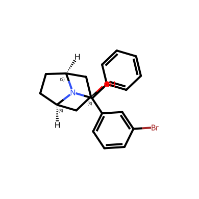 O[C@@]1(c2cccc(Br)c2)C[C@H]2CC[C@@H](C1)N2Cc1ccccc1